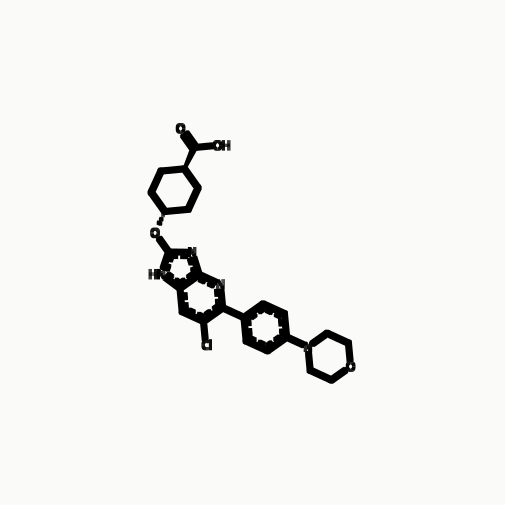 O=C(O)[C@H]1CC[C@H](Oc2nc3nc(-c4ccc(N5CCOCC5)cc4)c(Cl)cc3[nH]2)CC1